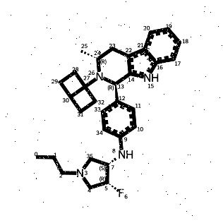 CCCN1C[C@@H](F)[C@@H](Nc2ccc([C@@H]3c4[nH]c5ccccc5c4C[C@@H](C)N3C34CCC3CC4)cc2)C1